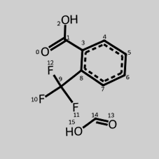 O=C(O)c1ccccc1C(F)(F)F.O=CO